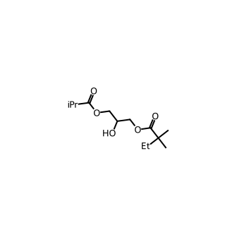 CCC(C)(C)C(=O)OCC(O)COC(=O)C(C)C